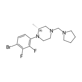 C[C@@H]1CN(CN2CCCC2)CCN1c1ccc(Br)c(F)c1F